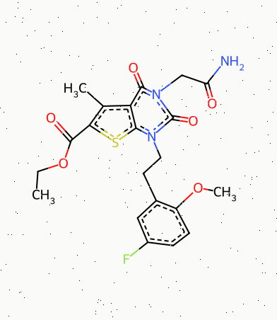 CCOC(=O)c1sc2c(c1C)c(=O)n(CC(N)=O)c(=O)n2CCc1cc(F)ccc1OC